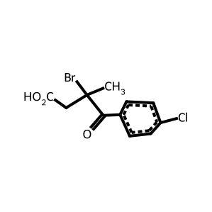 CC(Br)(CC(=O)O)C(=O)c1ccc(Cl)cc1